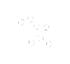 C1=C(c2ccccc2)NC(n2c3ccccc3c3cc(-c4cccc5c4sc4ccccc45)ccc32)N=C1c1ccccc1